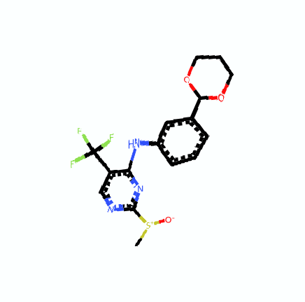 C[S+]([O-])c1ncc(C(F)(F)F)c(Nc2cccc(C3OCCCO3)c2)n1